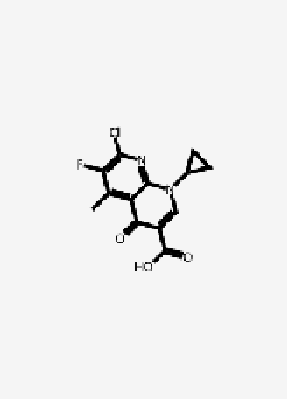 Cc1c(F)c(Cl)nc2c1c(=O)c(C(=O)O)cn2C1CC1